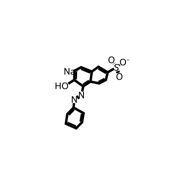 O=S(=O)([O-])c1ccc2c(/N=N/c3ccccc3)c(O)ccc2c1.[Na+]